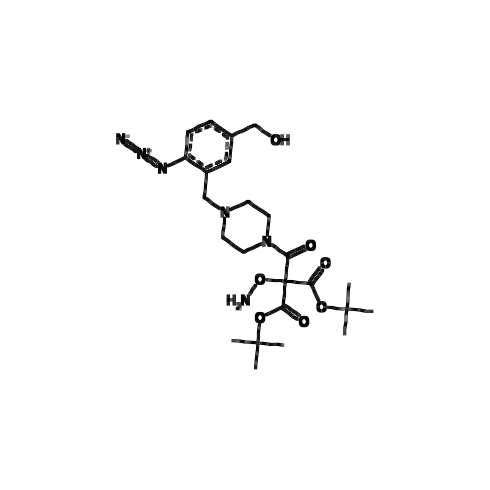 CC(C)(C)OC(=O)C(ON)(C(=O)OC(C)(C)C)C(=O)N1CCN(Cc2cc(CO)ccc2N=[N+]=[N-])CC1